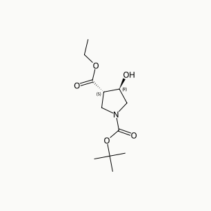 CCOC(=O)[C@H]1CN(C(=O)OC(C)(C)C)C[C@@H]1O